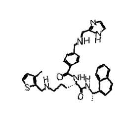 Cc1ccsc1CNCCC[C@H](NC(=O)c1ccc(CNCc2ncc[nH]2)cc1)C(=O)N[C@@H](C)c1cccc2ccccc12